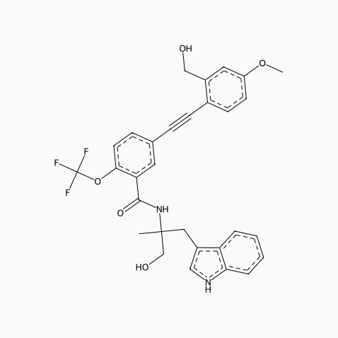 COc1ccc(C#Cc2ccc(OC(F)(F)F)c(C(=O)NC(C)(CO)Cc3c[nH]c4ccccc34)c2)c(CO)c1